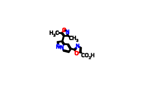 Cc1noc(C)c1-c1cnn2ccc(-c3ncc(C(=O)O)o3)cc12